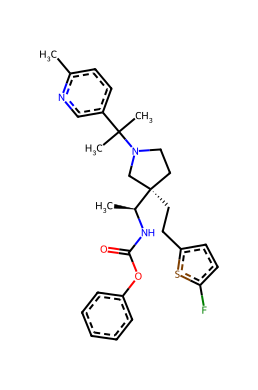 Cc1ccc(C(C)(C)N2CC[C@@](CCc3ccc(F)s3)([C@H](C)NC(=O)Oc3ccccc3)C2)cn1